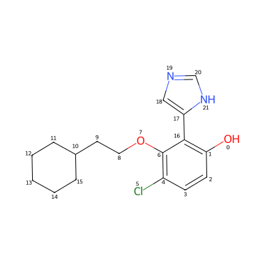 Oc1ccc(Cl)c(OCCC2CCCCC2)c1-c1cnc[nH]1